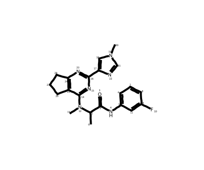 CC(C(=O)Nc1cccc(F)c1)N(C)c1nc(-c2cn(C)cn2)nc2c1CCC2